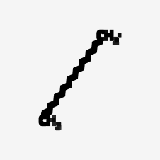 [CH2]CCCCCCCCCCCCCCCC/C=C/C